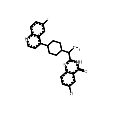 CC(c1nc2ccc(Cl)cc2c(=O)[nH]1)C1CCC(c2ccnc3ccc(F)cc23)CC1